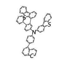 c1ccc(-c2ccc(N(c3ccc(-c4cccc5ccccc45)cc3)c3ccc4sc5ccccc5c4c3)cc2-c2cccc3c2sc2ccccc23)cc1